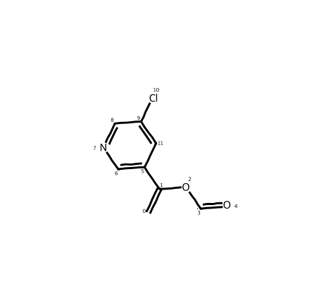 C=C(O[C]=O)c1cncc(Cl)c1